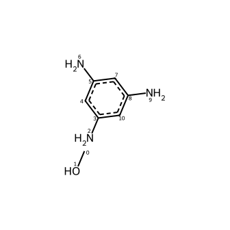 CO.Nc1cc(N)cc(N)c1